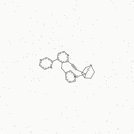 OC1(C#Cc2nccc(-c3cnccn3)c2Cc2ccccc2)CN2CCC1CC2